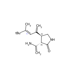 C=C(N)[C@H]1C(=O)NC[C@@H]1C(=C)/C=C(\C)C(C)(C)C